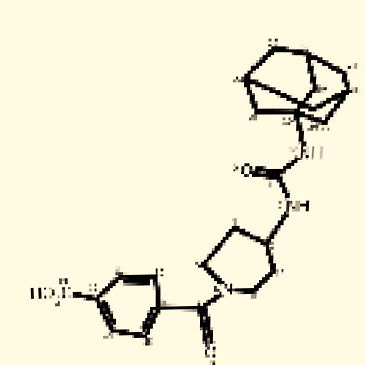 O=C(NC1CCN(C(=O)c2ccc(C(=O)O)cc2)CC1)NC12CC3CC(CC(C3)C1)C2